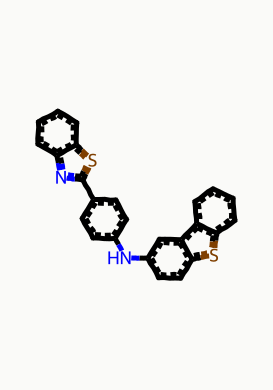 c1ccc2sc(-c3ccc(Nc4ccc5sc6ccccc6c5c4)cc3)nc2c1